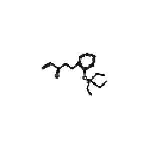 C=CC(=O)CCc1ccccc1O[Si](CC)(CC)CC